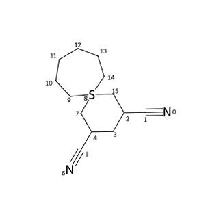 N#CC1CC(C#N)CS2(CCCCCC2)C1